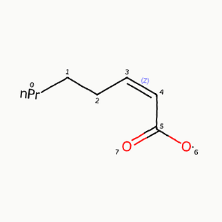 CCCCC/C=C\C([O])=O